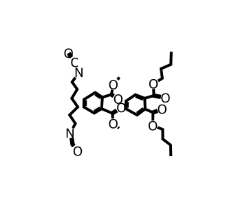 CCCCOC(=O)c1ccccc1C(=O)OCCCC.COC(=O)c1ccccc1C(=O)OC.O=C=NCCCCCCN=C=O